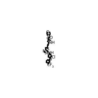 O=C(OC1CNC(C#Cc2cc3ncnc(Nc4ccc(Oc5cccc(C(F)(F)F)c5)c(Cl)c4)c3s2)C1)N1CCOCC1